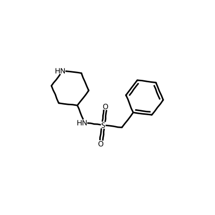 O=S(=O)(Cc1ccccc1)NC1CCNCC1